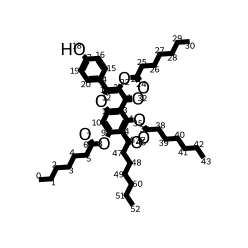 CCCCCCC(=O)Oc1cc2oc(-c3ccc(O)cc3)c(OC(=O)CCCCCC)c(=O)c2c(OC(=O)CCCCCC)c1C(=O)CCCCCC